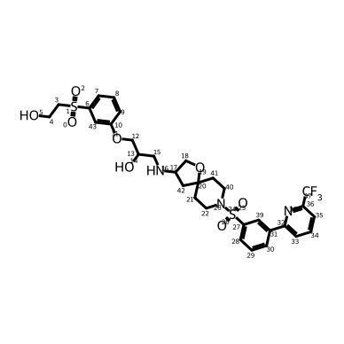 O=S(=O)(CCO)c1cccc(OCC(O)CNC2COC3(CCN(S(=O)(=O)c4cccc(-c5cccc(C(F)(F)F)n5)c4)CC3)C2)c1